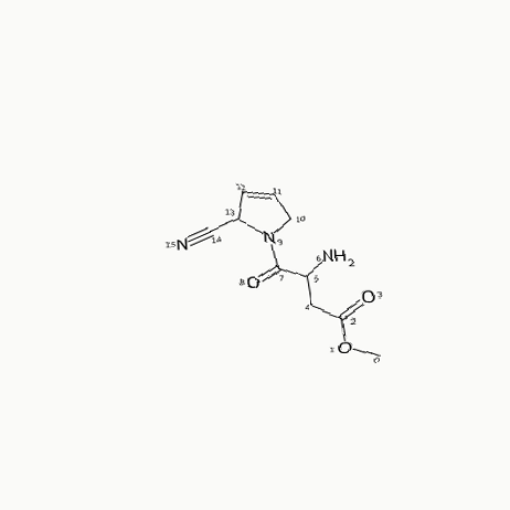 COC(=O)CC(N)C(=O)N1CC=CC1C#N